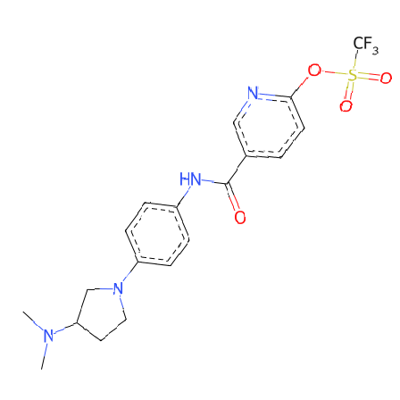 CN(C)C1CCN(c2ccc(NC(=O)c3ccc(OS(=O)(=O)C(F)(F)F)nc3)cc2)C1